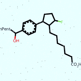 CCCCCC(O)c1ccc(C2CCC(F)C2CCCCCCC(=O)O)cc1